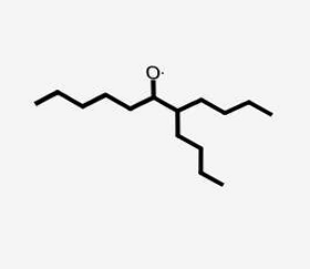 CCCCCC([O])C(CCCC)CCCC